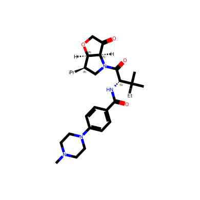 CCC(C)(C)[C@H](NC(=O)c1ccc(N2CCN(C)CC2)cc1)C(=O)N1C[C@@H](C(C)C)[C@H]2OCC(=O)[C@H]21